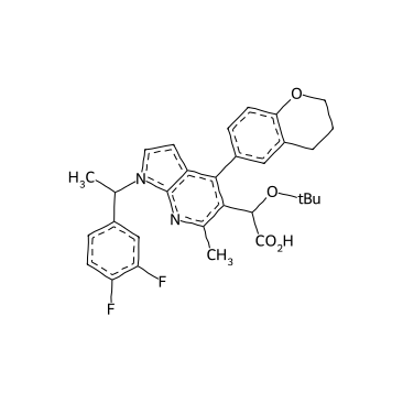 Cc1nc2c(ccn2C(C)c2ccc(F)c(F)c2)c(-c2ccc3c(c2)CCCO3)c1C(OC(C)(C)C)C(=O)O